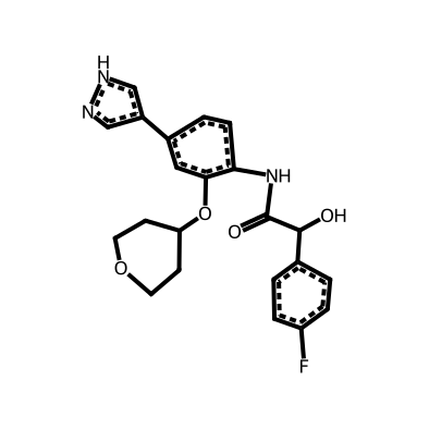 O=C(Nc1ccc(-c2cn[nH]c2)cc1OC1CCOCC1)C(O)c1ccc(F)cc1